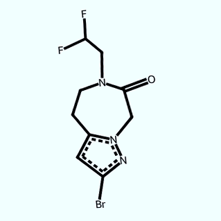 O=C1Cn2nc(Br)cc2CCN1CC(F)F